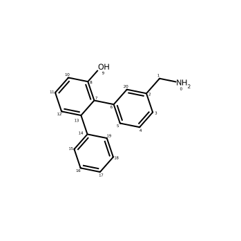 NCc1cccc(-c2c(O)cccc2-c2ccccc2)c1